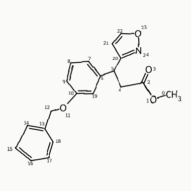 COC(=O)CC(c1cccc(OCc2ccccc2)c1)c1ccon1